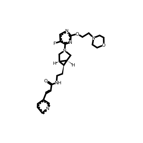 O=C(/C=C/c1cccnc1)NCC[C@H]1[C@H]2CN(c3nc(OCCN4CCOCC4)ncc3F)C[C@@H]12